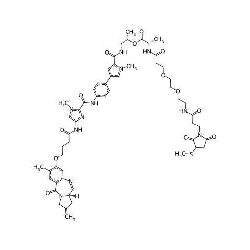 C=C1C[C@H]2C=Nc3cc(OCCCC(=O)Nc4cn(C)c(C(=O)Nc5ccc(-c6cc(C(=O)NC[C@H](C)OC(=O)[C@H](C)NC(=O)CCOCCOCCNC(=O)CCN7C(=O)CC(SC)C7=O)n(C)c6)cc5)n4)c(C)cc3C(=O)N2C1